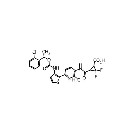 Cc1nc(-c2sccc2NC(=O)O[C@H](C)c2ccccc2Cl)ccc1NC(=O)C1C(C(=O)O)C1(F)F